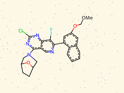 COCOc1cc(-c2ncc3c(N4CC5CCC(C4)O5)nc(Cl)nc3c2F)c2ccccc2c1